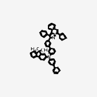 CC1(C)c2ccccc2-c2ccc(N(c3ccc(-c4ccccc4)cc3)c3cccc(-c4cccc(-c5nn6c(-c7ccccc7)cc7ccccc7c6c5-c5ccccc5)c4)c3)cc21